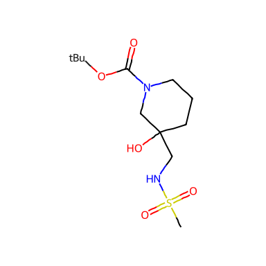 CC(C)(C)OC(=O)N1CCCC(O)(CNS(C)(=O)=O)C1